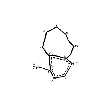 Clc1ncnc2c1CCCCC2